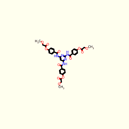 COCC(=O)Oc1ccc(C(=O)Nc2cc(NC(=O)c3ccc(OC(=O)COC)cc3)nc(NC(=O)c3ccc(OC(=O)COC)cc3)n2)cc1